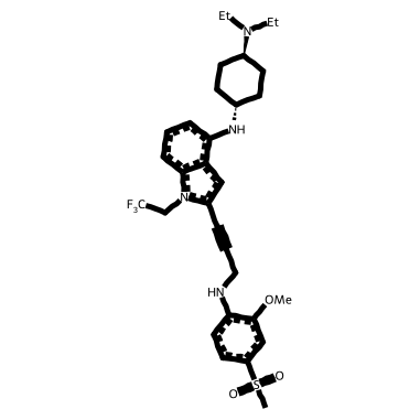 CCN(CC)[C@H]1CC[C@H](Nc2cccc3c2cc(C#CCNc2ccc(S(C)(=O)=O)cc2OC)n3CC(F)(F)F)CC1